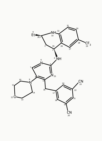 CC[C@@H]1C[C@H](Nc2ncc(N3CCOCC3)c(Cc3cc(C#N)cc(C#N)c3)n2)c2cc(C(F)(F)F)ccc2N1